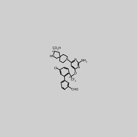 Nc1nc(O[C@H](c2ccc(Cl)cc2-c2cccc(C=O)c2)C(F)(F)F)cc(N2CCC3(CC2)CN[C@H](C(=O)O)C3)n1